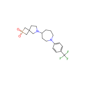 O=S1(=O)CC2(CCN(C3CCCN(c4ccc(C(F)(F)F)cc4)CC3)C2)C1